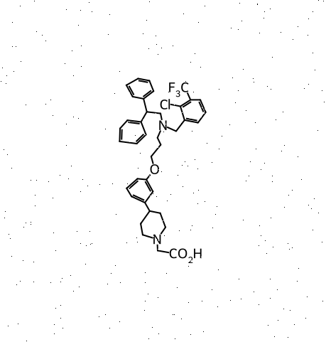 O=C(O)CN1CCC(c2cccc(OCCCN(Cc3cccc(C(F)(F)F)c3Cl)CC(c3ccccc3)c3ccccc3)c2)CC1